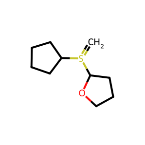 C=S(C1CCCC1)C1CCCO1